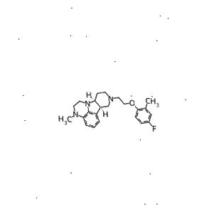 Cc1cc(F)ccc1OCCN1CC[C@H]2[C@@H](C1)c1cccc3c1N2CCN3C